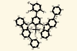 Fc1ccc(F)c(-c2cc(-n3c4ccccc4c4ccc(-c5ccccc5)cc43)c(C(F)(F)F)c(-n3c4ccccc4c4ccc(-c5ccccc5)cc43)c2)c1F